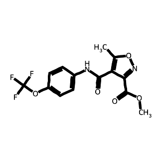 COC(=O)c1noc(C)c1C(=O)Nc1ccc(OC(F)(F)F)cc1